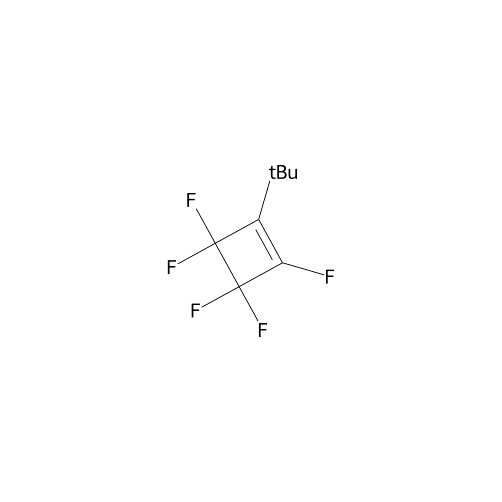 CC(C)(C)C1=C(F)C(F)(F)C1(F)F